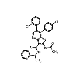 CC(=O)Nc1nn2c(-c3ccc(Cl)cc3)c(-c3ccccc3Cl)cnc2c1C(=O)NN(C)c1ccccn1